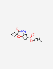 COC(=O)c1ccc2c(c1)NC(=O)C1(CCC1)O2